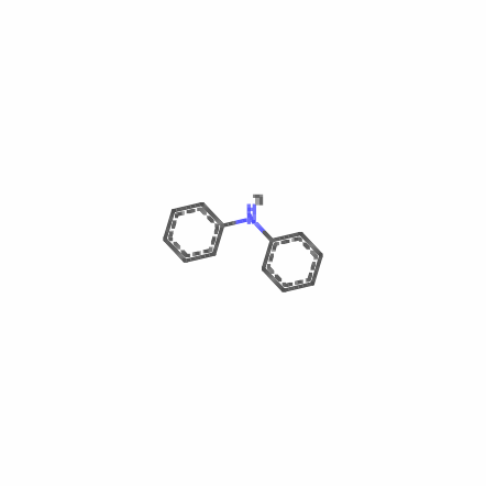 [Ti].c1ccc(Nc2ccccc2)cc1